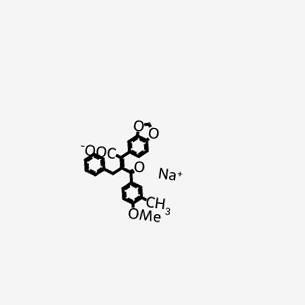 COc1ccc(C(=O)/C(Cc2ccccc2)=C(/C(=O)[O-])c2ccc3c(c2)OCO3)cc1C.[Na+]